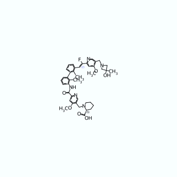 COc1cc(/C(F)=C/c2cccc(-c3cccc(NC(=O)c4cc(OC)c(CN5CCCC[C@H]5C(=O)O)cn4)c3C)c2C)ncc1CN1CC(C)(O)C1